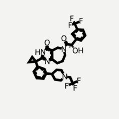 O=C([C@H](O)c1cccc(C(F)(F)F)c1)N1CCCc2nc(C3(c4cccc(C5CCN(CC(F)(F)F)CC5)c4)CC3)[nH]c(=O)c2C1